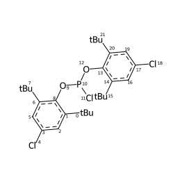 CC(C)(C)c1cc(Cl)cc(C(C)(C)C)c1OP(Cl)Oc1c(C(C)(C)C)cc(Cl)cc1C(C)(C)C